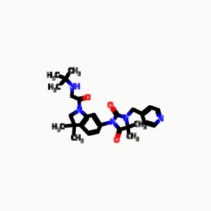 CC(C)(C)NCC(=O)N1CC(C)(C)c2ccc(N3C(=O)N(Cc4ccncc4)C(C)(C)C3=O)cc21